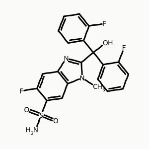 Cn1c(C(O)(c2ccccc2F)c2ccccc2F)nc2cc(F)c(S(N)(=O)=O)cc21